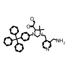 CC1(C)C(C(=O)C=O)N(c2ccc(C(c3ccccc3)(c3ccccc3)c3ccccc3)cc2)CN1Cc1ccncc1CN